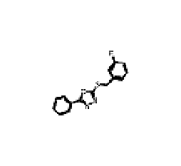 Fc1cccc(CSc2nnc(-c3ccccc3)o2)c1